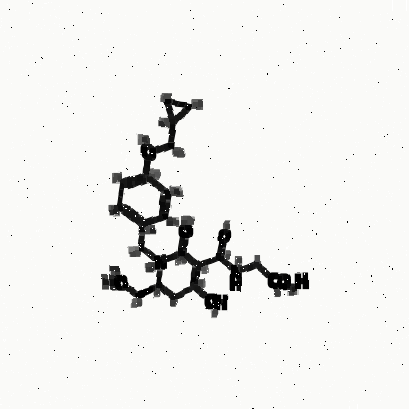 O=C(O)CNC(=O)C1=C(O)C[C@@H](CO)N(Cc2ccc(OCC3CC3)cc2)C1=O